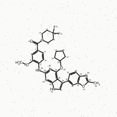 COc1cc(C(=O)N2CCC(F)(F)CC2)ccc1Nc1nc(OC2CCCC2)c2c(-c3ccc4nc(C)oc4c3)c[nH]c2n1